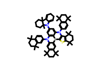 CC1(C)CCC(C)(C)c2cc(N3c4cc5c(cc4B4c6sc7c(c6N(c6ccc8c(c6)C(C)(C)CCC8(C)C)c6cc(N8C9=CCCC=C9C9(C)CCCCC89C)cc3c64)C(C)(C)CCC7(C)C)C(C)(C)CCC5(C)C)ccc21